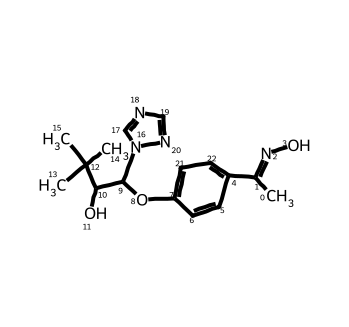 CC(=NO)c1ccc(OC(C(O)C(C)(C)C)n2cncn2)cc1